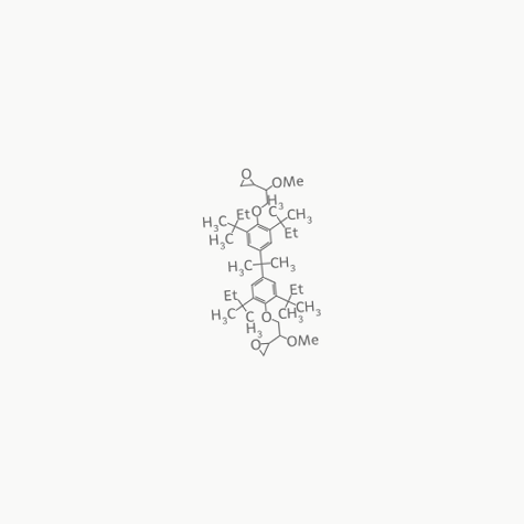 CCC(C)(C)c1cc(C(C)(C)c2cc(C(C)(C)CC)c(OCC(OC)C3CO3)c(C(C)(C)CC)c2)cc(C(C)(C)CC)c1OCC(OC)C1CO1